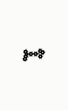 c1ccc(N(c2ccc(-c3ccc(-n4c5ccccc5c5cc6ccccc6cc54)cc3)cc2)c2cccc3ccccc23)cc1